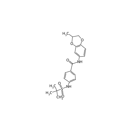 CC1COc2ccc(NC(=O)c3ccc(NS(=O)(=O)C(C)(C)C)cc3)cc2O1